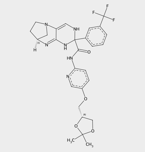 CC1(C)OC[C@@H](COc2ccc(NC(=O)C3(c4cccc(C(F)(F)F)c4)NC=C4C(=N[C@H]5CCN4C5)N3)nc2)O1